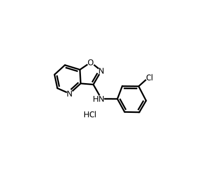 Cl.Clc1cccc(Nc2noc3cccnc23)c1